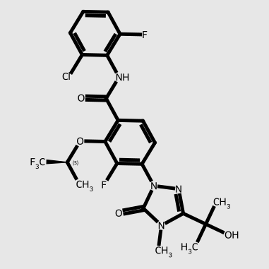 C[C@H](Oc1c(C(=O)Nc2c(F)cccc2Cl)ccc(-n2nc(C(C)(C)O)n(C)c2=O)c1F)C(F)(F)F